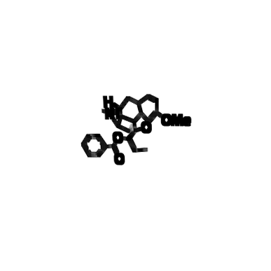 C/C=C(/OC(=O)c1ccccc1)[C@@H]1OC2=C(OC)C=CC3C[C@@H]4[C@@H]5C(C[C@]15C23)N4C